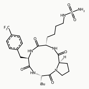 CC[C@@H](C)[C@@H]1NC(=O)[C@@H](Cc2ccc(C(F)(F)F)cc2)NC(=O)[C@H](CCCCNS(N)(=O)=O)NC(=O)[C@H]2CCCN2C1=O